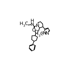 CCNC(=O)N1CCCC(c2ccnn2C)C1COC1CCC(c2ccccc2)CC1